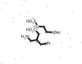 CC(C)CC(CN)CC(=O)O.CCCCCCCCCCCCOS(=O)(=O)O